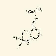 CC(=O)/C=C/c1cccc(OC(F)(F)F)c1